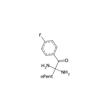 CCCCCC(N)(N)C(=O)c1ccc(F)cc1